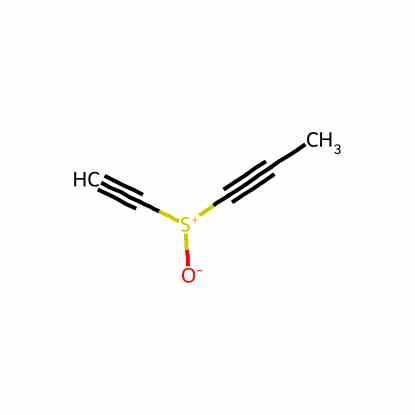 C#C[S+]([O-])C#CC